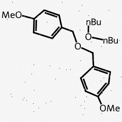 CCCCOCCCC.COc1ccc(COCc2ccc(OC)cc2)cc1